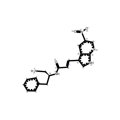 NC[C@H](Cc1ccccc1)NC(=O)/C=C/c1c[nH]c2ncc([N+](=O)[O-])cc12